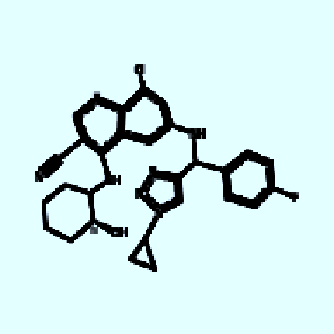 N#Cc1cnc2c(Cl)cc(NC(c3ccc(F)cc3)c3cn(C4CC4)nn3)cc2c1NC1CCCC[C@@H]1O